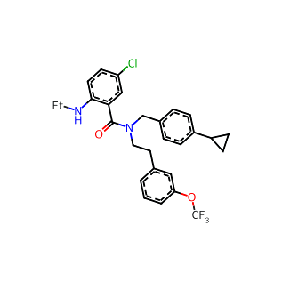 CCNc1ccc(Cl)cc1C(=O)N(CCc1cccc(OC(F)(F)F)c1)Cc1ccc(C2CC2)cc1